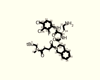 CN(CC(C)(C)C)C(=O)CCC(=O)N1Cc2ccccc2C[C@H]1C(=O)N[C@@H](CCN)C(=O)Nc1ccc(Cl)c(Cl)c1F